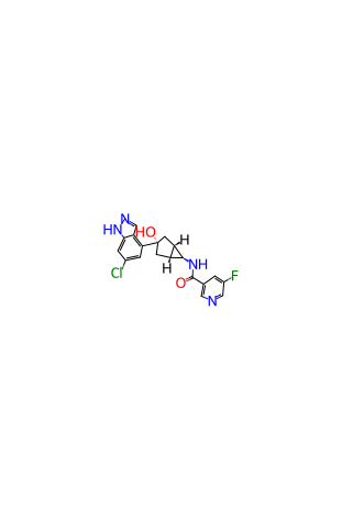 O=C(N[C@H]1[C@@H]2C[C@@](O)(c3cc(Cl)cc4[nH]ncc34)C[C@@H]21)c1cncc(F)c1